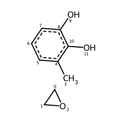 C1CO1.Cc1cccc(O)c1O